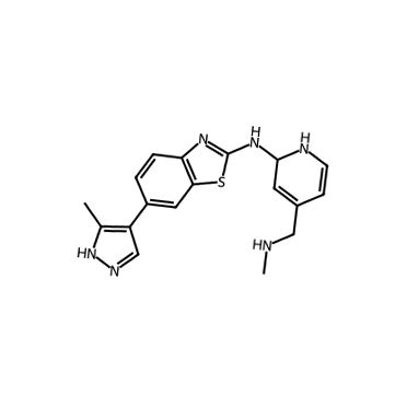 CNCC1=CC(Nc2nc3ccc(-c4cn[nH]c4C)cc3s2)NC=C1